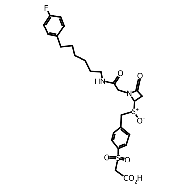 O=C(O)CS(=O)(=O)c1ccc(C[S+]([O-])C2CC(=O)N2CC(=O)NCCCCCCc2ccc(F)cc2)cc1